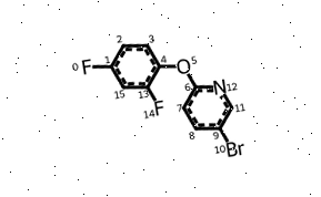 Fc1ccc(Oc2ccc(Br)cn2)c(F)c1